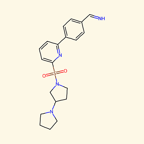 N=Cc1ccc(-c2cccc(S(=O)(=O)N3CCC(N4CCCC4)C3)n2)cc1